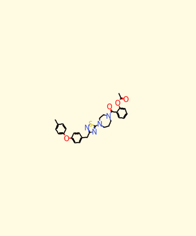 CC(=O)Oc1ccccc1C(=O)N1CCCN(c2nc(Cc3ccc(Oc4ccc(C)cc4)cc3)ns2)CC1